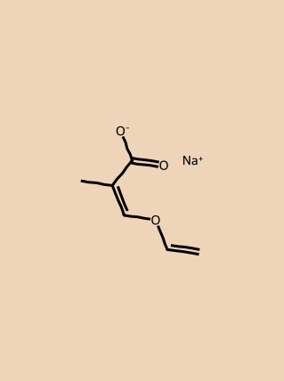 C=COC=C(C)C(=O)[O-].[Na+]